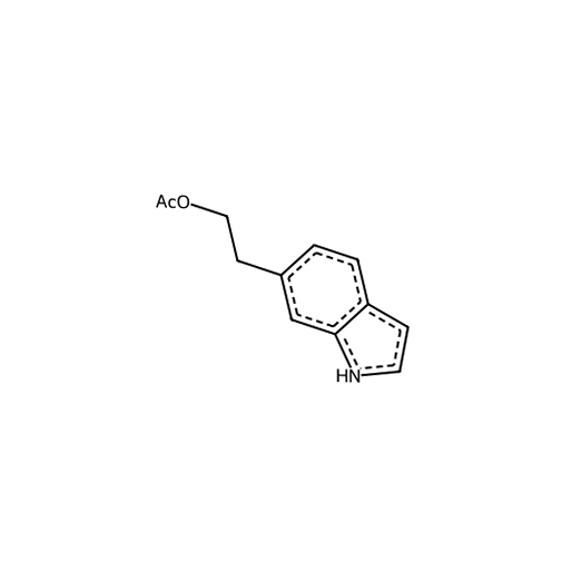 CC(=O)OCCc1ccc2cc[nH]c2c1